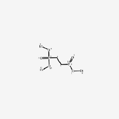 CCO[PH](=O)CCP(=O)(OCC)OCC